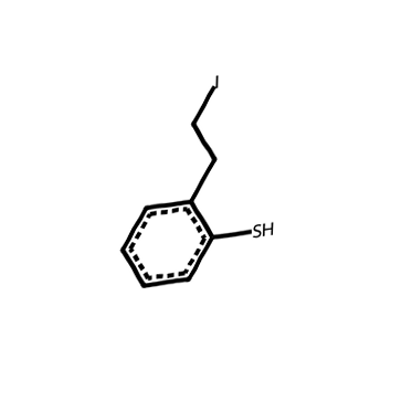 Sc1ccccc1CCI